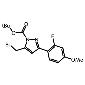 COc1ccc(-c2cc(CBr)n(C(=O)OC(C)(C)C)n2)c(F)c1